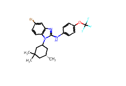 C[C@H]1CC(n2c(Nc3ccc(OC(F)(F)F)cc3)nc3cc(Br)ccc32)CC(C)(C)C1